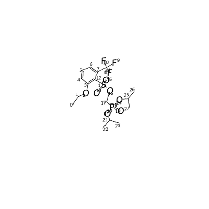 CCOc1cccc(C(F)(F)F)c1S(=O)(=O)OCP(=O)(OC(C)C)OC(C)C